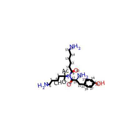 CC(=O)[C@@]([C]=O)(CCCCN)N(C(=O)CCCCCN)C(=O)[C@@H](N)Cc1ccc(O)cc1